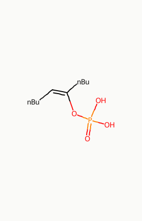 CCCCC=C(CCCC)OP(=O)(O)O